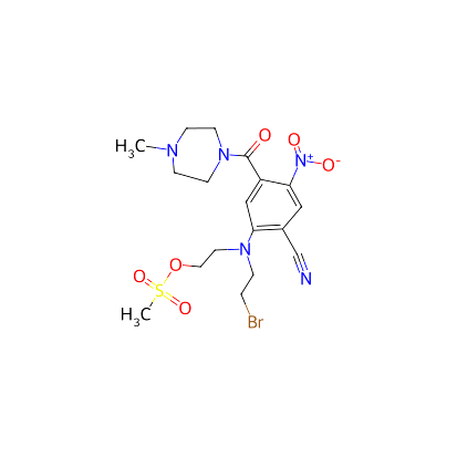 CN1CCN(C(=O)c2cc(N(CCBr)CCOS(C)(=O)=O)c(C#N)cc2[N+](=O)[O-])CC1